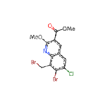 COC(=O)c1cc2cc(Cl)c(Br)c(CBr)c2nc1OC